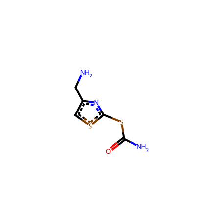 NCc1csc(SC(N)=O)n1